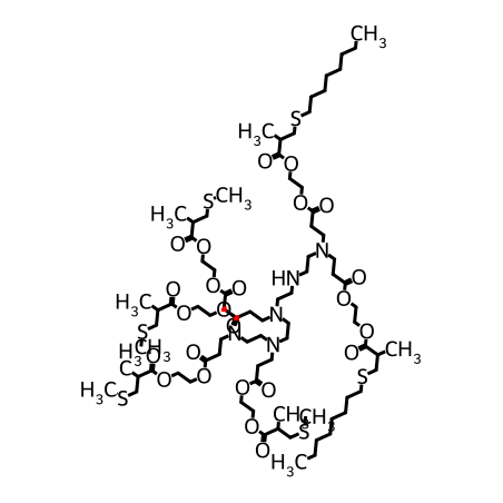 CCCCCCCCSCC(C)C(=O)OCCOC(=O)CCN(CCNCCN(CCC(=O)OCCOC(=O)C(C)CSC)CCN(CCC(=O)OCCOC(=O)C(C)CSC)CCN(CCC(=O)OCCOC(=O)C(C)CSC)CCC(=O)OCCOC(=O)C(C)CSC)CCC(=O)OCCOC(=O)C(C)CSCCCCCCCC